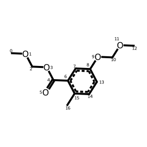 COCOC(=O)c1cc(OCOC)ccc1C